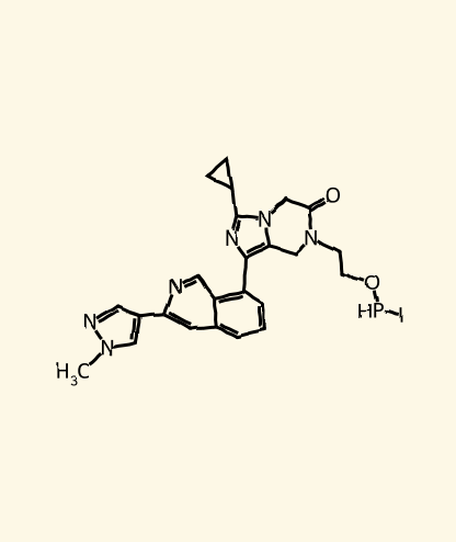 Cn1cc(-c2cc3cccc(-c4nc(C5CC5)n5c4CN(CCOPI)C(=O)C5)c3cn2)cn1